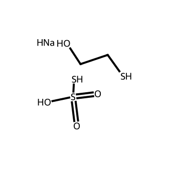 O=S(=O)(O)S.OCCS.[NaH]